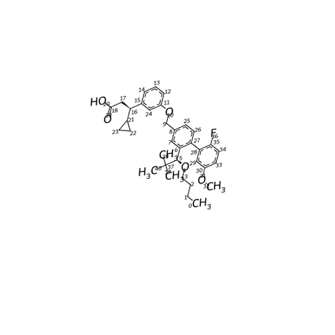 CCCCO[C@H](c1cc(COc2cccc([C@H](CC(=O)O)C3CC3)c2)ccc1-c1cc(OC)ccc1F)C(C)(C)C